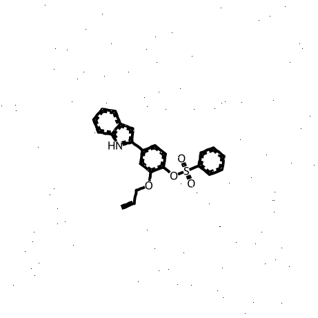 C=CCOc1cc(-c2cc3ccccc3[nH]2)ccc1OS(=O)(=O)c1ccccc1